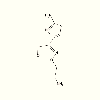 NCCON=C([C]=O)c1csc(N)n1